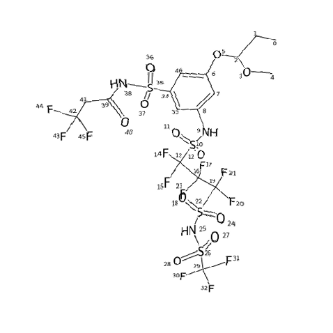 CCC(OC)Oc1cc(NS(=O)(=O)C(F)(F)C(F)(F)C(F)(F)S(=O)(=O)NS(=O)(=O)C(F)(F)F)cc(S(=O)(=O)NC(=O)CC(F)(F)F)c1